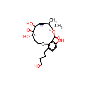 CC1/C=C\C(O)C(O)[C@@H](O)CCCc2c(CCCCO)ccc(O)c2C(=O)O[C@H]1C